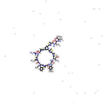 C=C(NC(=O)c1csc(-c2ccc3c(n2)-c2csc(n2)-c2csc(n2)[C@H]([C@@H](C)[C@@H]2CO2)NC(=O)[C@H](Cc2ccc(OC(C)=O)cc2)NC(=O)c2csc(n2)[C@H]([C@H](CC(C)=O)c2ccccc2)NC(=O)c2nc(sc2C)[C@H](CC(N)=O)NC(=O)c2csc-3n2)n1)C(=O)NC(=C)C(=O)OC